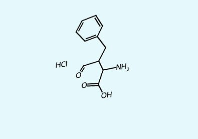 Cl.NC(C(=O)O)C(C=O)Cc1ccccc1